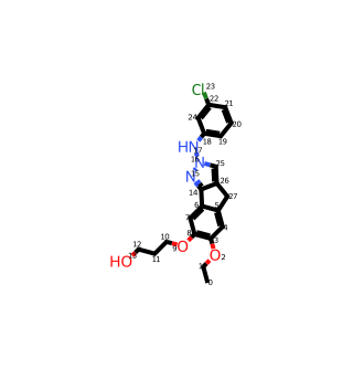 CCOc1cc2c(cc1OCCCO)-c1nn(Nc3cccc(Cl)c3)cc1C2